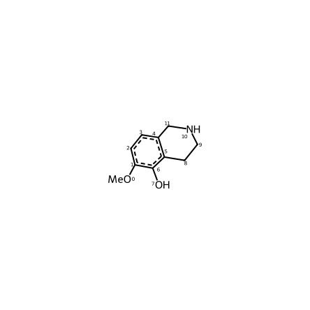 COc1ccc2c(c1O)CCNC2